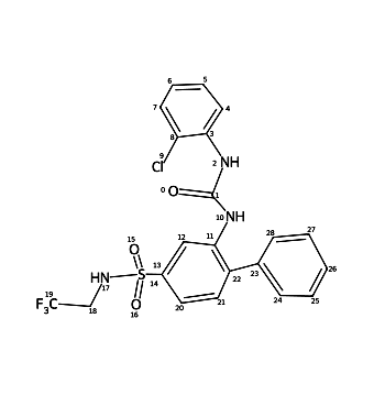 O=C(Nc1ccccc1Cl)Nc1cc(S(=O)(=O)NCC(F)(F)F)ccc1-c1ccccc1